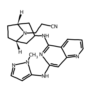 Cn1nccc1Nc1cc2ncccc2c(NC2C[C@H]3CC[C@@H](C2)N3CCC#N)n1